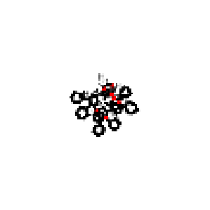 CC1=C(C)C(C)C([Si](c2c(C)cc(-c3ccccc3)c(-c3ccccc3)c2-c2ccccc2)(c2c(C)cc(-c3ccccc3)c(-c3ccccc3)c2-c2ccccc2)c2c(C)cc(-c3ccccc3)c(-c3ccccc3)c2-c2ccccc2)=C1C